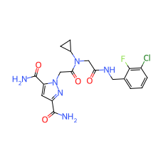 NC(=O)c1cc(C(N)=O)n(CC(=O)N(CC(=O)NCc2cccc(Cl)c2F)C2CC2)n1